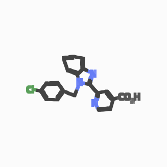 O=C(O)c1ccnc(-c2nc3ccccc3n2Cc2ccc(Cl)cc2)c1